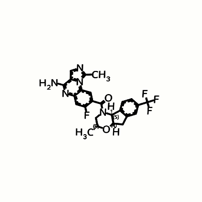 Cc1ncc2c(N)nc3cc(F)c(C(=O)N4C[C@@H](C)O[C@@H]5Cc6cc(C(F)(F)F)ccc6[C@@H]54)cc3n12